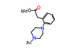 COC(=O)Cc1ccccc1N1CCN(C(C)=O)CC1